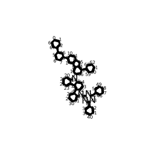 c1ccc(-c2cccc(-c3ccc4c(c3)-c3cc(-n5c6ccccc6c6c7c8ccccc8n(-c8nc(-c9ccccc9)nc(-c9ccccc9)n8)c7ccc65)cc(-c5ccccc5)c3C4)c2)cc1